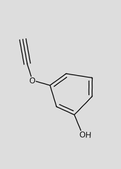 C#COc1cccc(O)c1